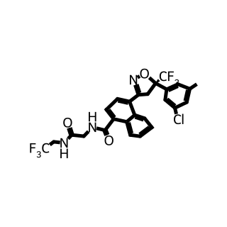 Cc1cc(Cl)cc([C@]2(C(F)(F)F)CC(c3ccc(C(=O)NCC(=O)NCC(F)(F)F)c4ccccc34)=NO2)c1